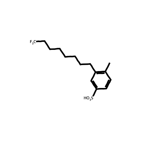 Cc1ccc(S(=O)(=O)O)cc1CCCCCCCC(F)(F)F